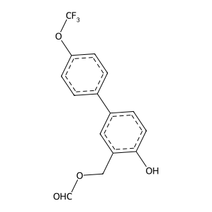 O=COCc1cc(-c2ccc(OC(F)(F)F)cc2)ccc1O